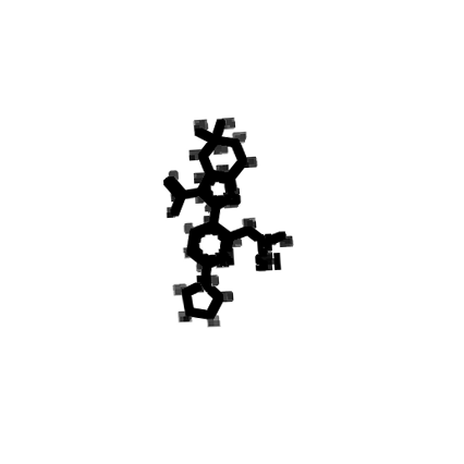 C=C(C)c1c(-c2ccc(N3CCCC3)nc2CN(C)S)sc2c1CC(C)(C)CC2